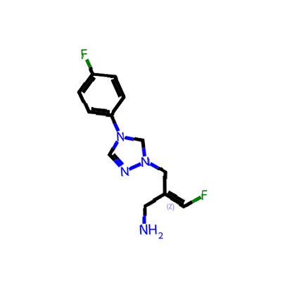 NC/C(=C/F)CN1CN(c2ccc(F)cc2)C=N1